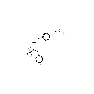 CC(C)COc1ccc(CNC(=O)N2CC3(CN(C)C3)C2Cc2ccc(F)cc2)cc1